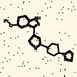 CC(C)Oc1ccc2[nH]nc(-c3ccnc(N4CCC(n5cccn5)CC4)c3)c2c1